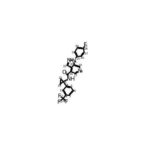 O=C(NC1(c2cccc(C(F)(F)F)c2)CC1)c1cncc2c1cnn2-c1ccc(F)cc1